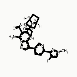 CC(=O)c1c([C@H]2C[C@H]3CC[C@@H](C2)N3C(=O)CO)nc2c(-c3ccc(-c4nn(C)cc4F)nc3)cnn2c1N